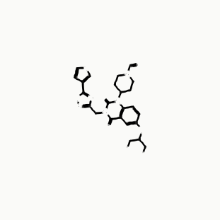 O=CN1CCC(n2c(=O)n(Cc3noc(-c4ccsc4)n3)c(=O)c3cc(OC(CF)CF)ccc32)CC1